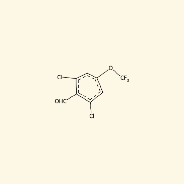 O=Cc1c(Cl)cc(OC(F)(F)F)cc1Cl